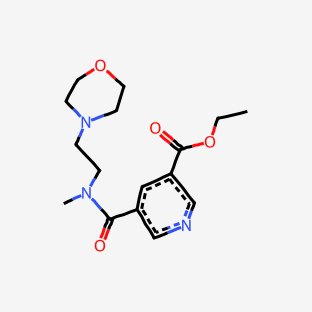 CCOC(=O)c1cncc(C(=O)N(C)CCN2CCOCC2)c1